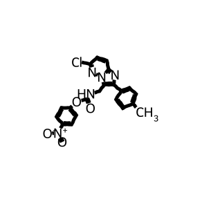 Cc1ccc(-c2nc3ccc(Cl)nn3c2CNC(=O)Oc2ccc([N+](=O)[O-])cc2)cc1